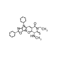 CCN1C(=O)/C(=C/c2nc3oc(-c4ccccc4)nc3n2-c2ccccc2)C(=O)C(NC)C1=S